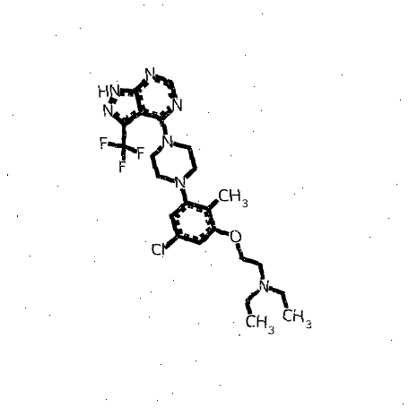 CCN(CC)CCOc1cc(Cl)cc(N2CCN(c3ncnc4[nH]nc(C(F)(F)F)c34)CC2)c1C